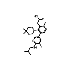 Cc1ncc(-c2cnc(NCC(C)C)c(F)c2)c(N2CCC(C)(C)CC2)c1CC(=O)O